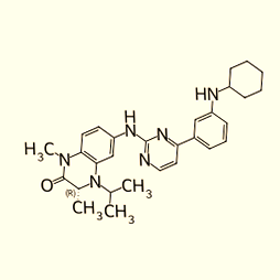 CC(C)N1c2cc(Nc3nccc(-c4cccc(NC5CCCCC5)c4)n3)ccc2N(C)C(=O)[C@H]1C